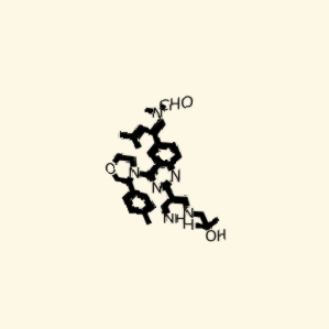 CC(C)=C/C(=C\N(C)C=O)c1ccc2nc(/C(C=N)=C/NCC(C)(C)O)nc(N3CCOCC3c3ccc(C)cc3)c2c1